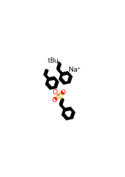 C=Cc1ccccc1.CC(C)(C)C=Cc1ccccc1.O=S(=O)([O-])C=Cc1ccccc1.[Na+]